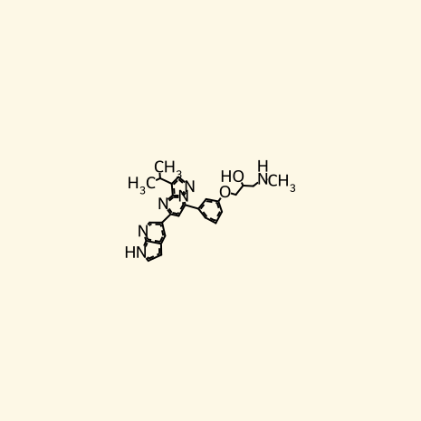 CNCC(O)COc1cccc(-c2cc(-c3cnc4[nH]ccc4c3)nc3c(C(C)C)cnn23)c1